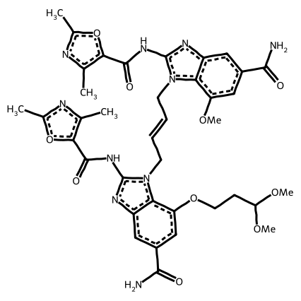 COc1cc(C(N)=O)cc2nc(NC(=O)c3oc(C)nc3C)n(C/C=C/Cn3c(NC(=O)c4oc(C)nc4C)nc4cc(C(N)=O)cc(OCCC(OC)OC)c43)c12